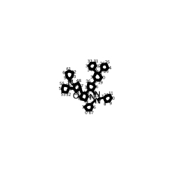 c1ccc(-c2nc(-c3ccccc3)nc(-c3cc(-c4ccc(-c5ccccc5)c(-c5ccccc5)c4)ccc3-c3cccc4oc5c(ccc6c5c5ccccc5n6-c5ccccc5)c34)n2)cc1